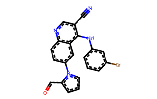 N#Cc1cnc2ccc(-n3cccc3C=O)cc2c1Nc1cccc(Br)c1